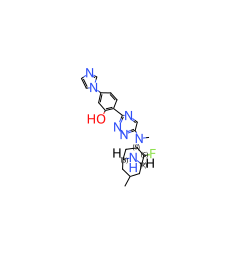 CC1C[C@H]2C[C@H](N(C)c3cnc(-c4ccc(-n5ccnc5)cc4O)nn3)[C@@H](F)[C@@H](C1)N2